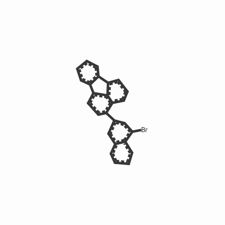 Brc1cc(-c2ccc3c4c(cccc24)-c2ccccc2-3)cc2ccccc12